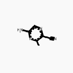 Cc1nc(N)cnc1C#N